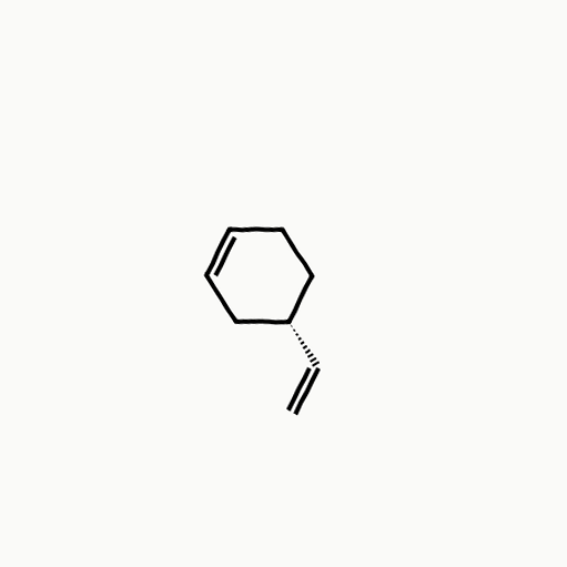 C=C[C@@H]1CC=CCC1